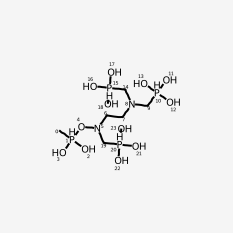 C[PH](O)(O)ON(CCN(C[PH](O)(O)O)C[PH](O)(O)O)C[PH](O)(O)O